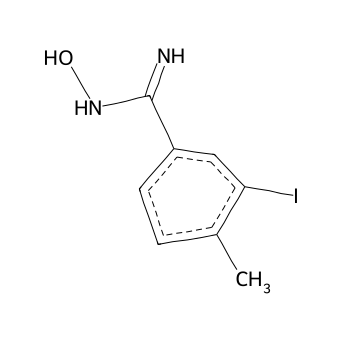 Cc1ccc(C(=N)NO)cc1I